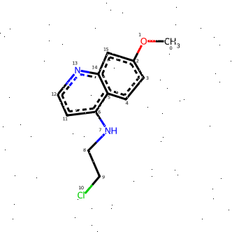 COc1ccc2c(NCCCl)ccnc2c1